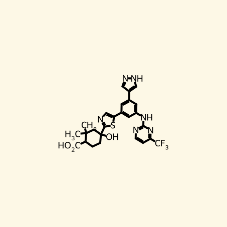 CC1(C)CC(O)(c2ncc(-c3cc(Nc4nccc(C(F)(F)F)n4)cc(-c4cn[nH]c4)c3)s2)CCC1C(=O)O